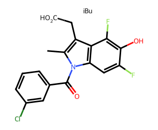 CC[C@H](C)C(C(=O)O)c1c(C)n(C(=O)c2cccc(Cl)c2)c2cc(F)c(O)c(F)c12